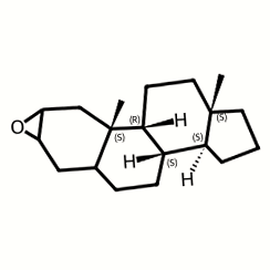 C[C@@]12CCC[C@H]1[C@@H]1CCC3CC4OC4C[C@]3(C)[C@@H]1CC2